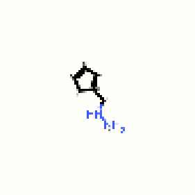 NNCC1=CC=CC1